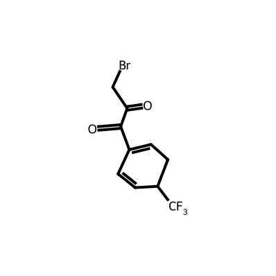 O=C(CBr)C(=O)C1=CCC(C(F)(F)F)C=C1